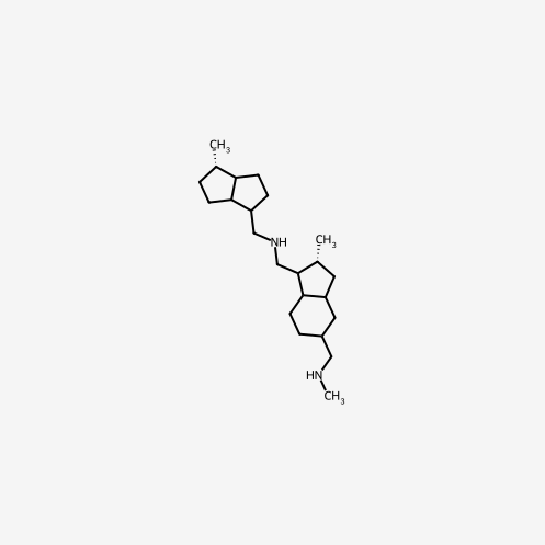 CNCC1CCC2C(C1)C[C@@H](C)C2CNCC1CCC2C1CC[C@@H]2C